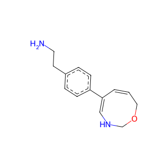 NCCc1ccc(C2=C/NCOC/C=C\2)cc1